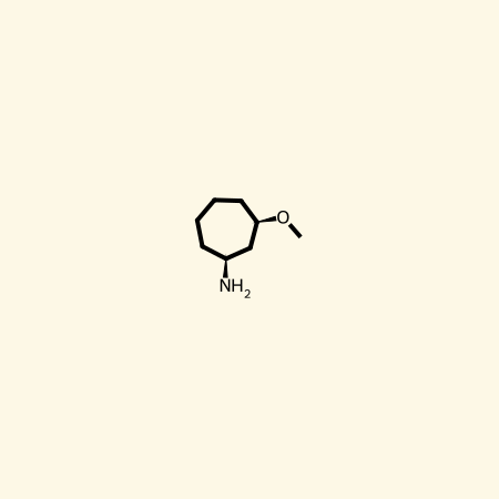 CO[C@@H]1CCCC[C@H](N)C1